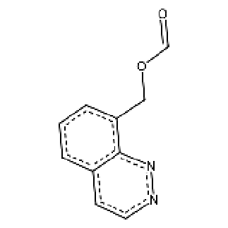 O=COCc1cccc2ccnnc12